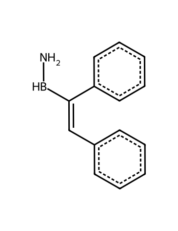 NBC(=Cc1ccccc1)c1ccccc1